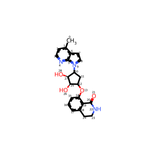 Cc1ccnc2c1ccn2C1CC(Oc2cccc3c2C(=O)NCC3)[C@@H](O)[C@H]1O